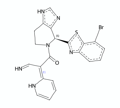 N=C/C(C(=O)N1CCc2[nH]cnc2[C@H]1c1nc2cccc(Br)c2s1)=C1/C=CC=CN1